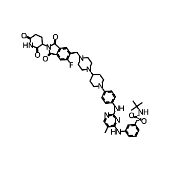 Cc1cnc(Nc2ccc(N3CCC(N4CCN(Cc5cc6c(cc5F)C(=O)N(C5CCC(=O)NC5=O)C6=O)CC4)CC3)cc2)nc1Nc1cccc(S(=O)(=O)NC(C)(C)C)c1